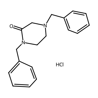 Cl.O=C1CN(Cc2ccccc2)CCN1Cc1ccccc1